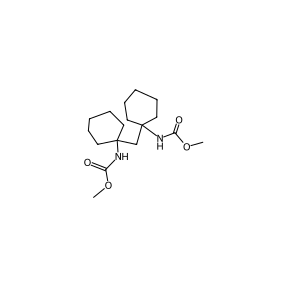 COC(=O)NC1(CC2(NC(=O)OC)CCCCC2)CCCCC1